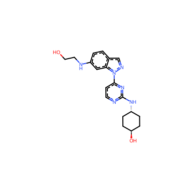 OCCNc1ccc2cnn(-c3ccnc(N[C@H]4CC[C@H](O)CC4)n3)c2c1